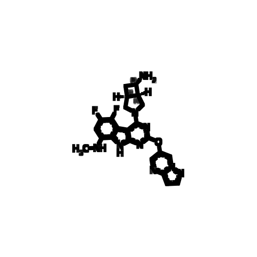 CNc1cc(F)c(F)c2c1[nH]c1nc(Oc3cnc4ccnn4c3)nc(N3C[C@H]4C[C@@H](N)[C@H]4C3)c12